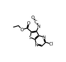 CCOC(=O)c1sc2ncc(Cl)nc2c1N=C=O